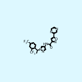 CC(c1ccc(C(F)(F)F)cc1C(F)(F)F)n1cc(NC(=O)c2cc(-c3cnccn3)on2)cn1